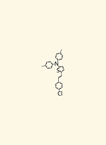 Cc1ccc(N(c2ccc(C)cc2)c2ccc(C=Cc3ccc(Cl)cc3)s2)cc1